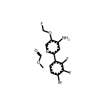 COC=O.Nc1cc(-c2ccc(Br)c(F)c2F)ncc1OCF